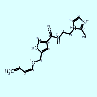 C=C/C=C\OCc1cc(C(=O)NCCn2ccnc2I)no1